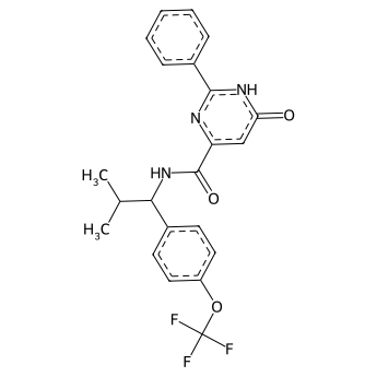 CC(C)C(NC(=O)c1cc(=O)[nH]c(-c2ccccc2)n1)c1ccc(OC(F)(F)F)cc1